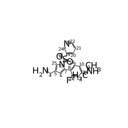 CNC.NCc1cc(-c2ccccc2F)n(S(=O)(=O)c2cccnc2)c1